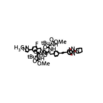 COC(=O)NC(C(=O)N[C@@H](Cc1ccc(C#Cc2ccc(N3CC4CCC(C3)N4c3ncccn3)nc2)cc1)[C@@H](O)CN(Cc1c(F)cc(-c2ccn(C)n2)cc1F)NC(=O)[C@@H](NC(=O)OC)C(C)(C)C)C(C)(C)C